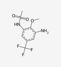 COc1c(N)cc(C(F)(F)F)cc1NS(C)(=O)=O